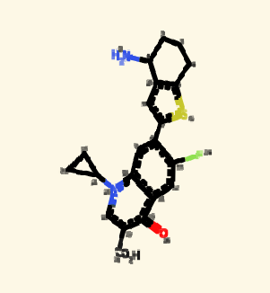 NC1CCCc2sc(-c3cc4c(cc3F)c(=O)c(C(=O)O)cn4C3CC3)cc21